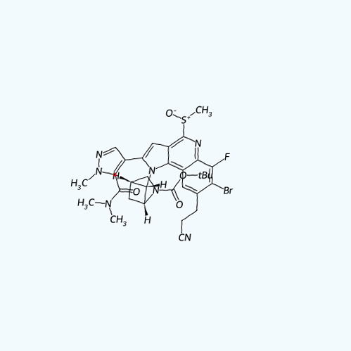 CN(C)C(=O)c1c(-c2cc3c([S+](C)[O-])nc4c(F)c(Br)c(CCC#N)cc4c3n2[C@H]2[C@@H]3C[C@H]2N(C(=O)OC(C)(C)C)C3)cnn1C